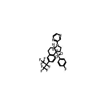 O=S(=O)(c1ccc(F)cc1)[C@]12CCN(c3cnccn3)[C@H]1CCc1cc(C(F)(C(F)(F)F)C(F)(F)F)ccc12